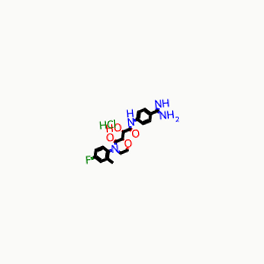 Cc1cc(F)ccc1N1CCO[C@H]([C@@H](O)C(=O)Nc2ccc(C(=N)N)cc2)C1=O.Cl